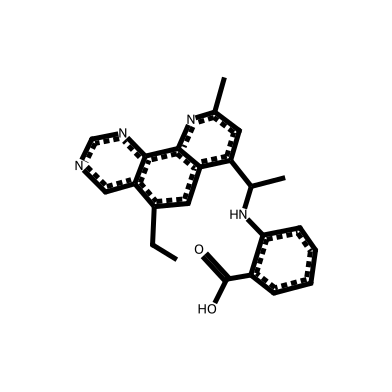 CCc1cc2c(C(C)Nc3ccccc3C(=O)O)cc(C)nc2c2ncncc12